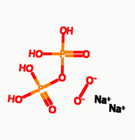 O=P(O)(O)OP(=O)(O)O.[Na+].[Na+].[O-][O-]